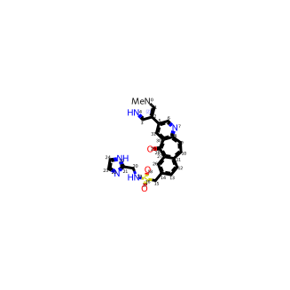 CN/C=C(\C=N)c1cnc2ccc3ccc(CS(=O)(=O)NCc4ncc[nH]4)cc3c(=O)c2c1